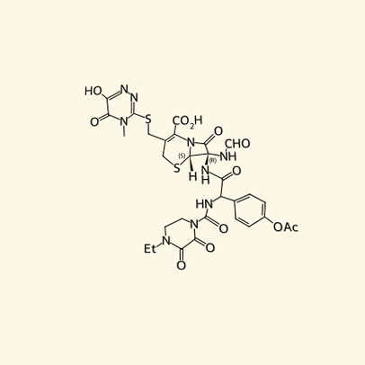 CCN1CCN(C(=O)NC(C(=O)N[C@]2(NC=O)C(=O)N3C(C(=O)O)=C(CSc4nnc(O)c(=O)n4C)CS[C@H]32)c2ccc(OC(C)=O)cc2)C(=O)C1=O